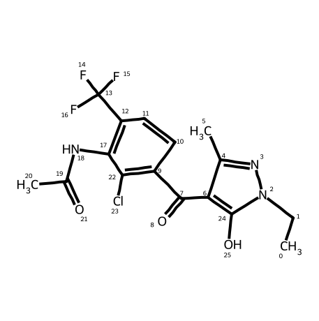 CCn1nc(C)c(C(=O)c2ccc(C(F)(F)F)c(NC(C)=O)c2Cl)c1O